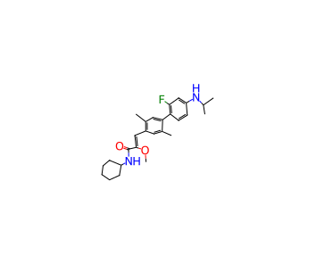 CO/C(=C\c1cc(C)c(-c2ccc(NC(C)C)cc2F)cc1C)C(=O)NC1CCCCC1